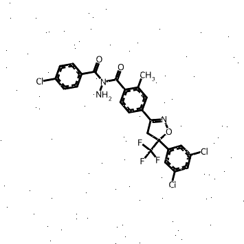 Cc1cc(C2=NOC(c3cc(Cl)cc(Cl)c3)(C(F)(F)F)C2)ccc1C(=O)N(N)C(=O)c1ccc(Cl)cc1